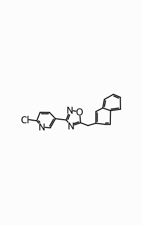 Clc1ccc(-c2noc(Cc3ccc4ccccc4c3)n2)cn1